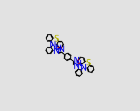 c1ccc2c(c1)Sc1ccccc1N2c1ccccc1-n1cc(-c2ccc(-c3cn(-c4ccccc4N4c5ccccc5Sc5ccccc54)nn3)cc2)nn1